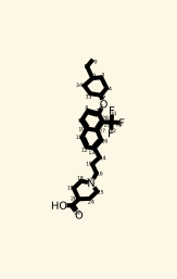 CCC1CCC(Oc2ccc3ccc(CCCN4CCC(C(=O)O)CC4)cc3c2C(F)(F)F)CC1